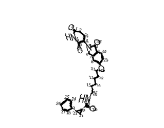 O=C1CCC(N2Cc3cc(OCCCCCCNC(=O)[C@@H]4C[C@@H]4c4ccccc4)ccc3C2=O)C(=O)N1